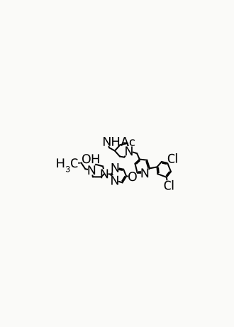 CC(=O)NCC1CCN(Cc2cc(Oc3cnc(N4CCN(C[C@@H](C)O)CC4)nc3)nc(-c3cc(Cl)cc(Cl)c3)c2)CC1